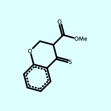 COC(=O)C1COc2ccccc2C1=S